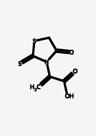 C=C(C(=O)O)N1C(=O)CSC1=S